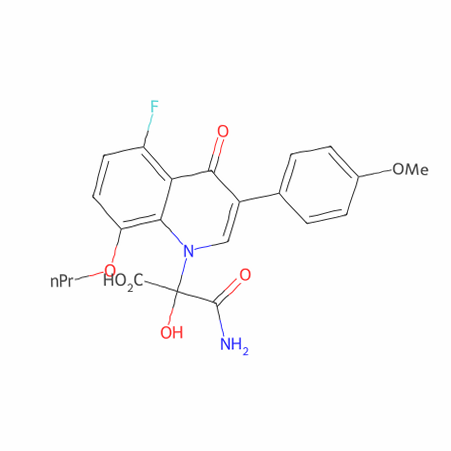 CCCOc1ccc(F)c2c(=O)c(-c3ccc(OC)cc3)cn(C(O)(C(N)=O)C(=O)O)c12